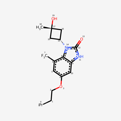 CC(C)CCOc1cc(C(F)(F)F)c2c(c1)[nH]c(=O)n2[C@H]1C[C@@](C)(O)C1